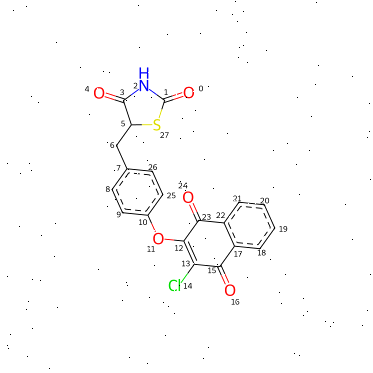 O=C1NC(=O)C(Cc2ccc(OC3=C(Cl)C(=O)c4ccccc4C3=O)cc2)S1